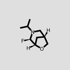 CC(C)N1C[C@@H]2CO[C@@H](C2)[C@H]1F